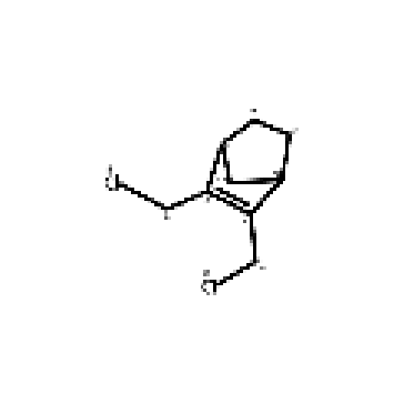 ClCC1=C(CCl)C2CCC1C2